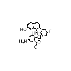 Nc1ccc(Cl)c(C(=O)O)c1.Oc1ccc2ccc3c4cc(F)ccc4[nH]c3c2c1